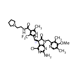 COc1c(C)cnc(CN2C(=O)/C(=C\c3[nH]c(C)c(C(=O)NCCN4CCCC4)c3C(F)(F)F)c3c(Cl)nc(N)nc32)c1C